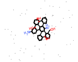 Nc1ccc(-c2c(-c3ccccc3CO)c(-c3ccccc3CO)c(N)c(-c3ccccc3CO)c2-c2ccccc2CO)cc1